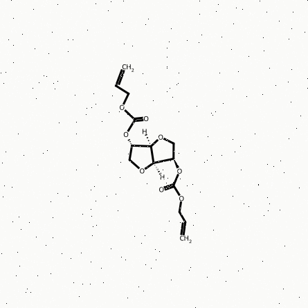 C=CCOC(=O)O[C@H]1CO[C@H]2[C@@H]1OC[C@H]2OC(=O)OCC=C